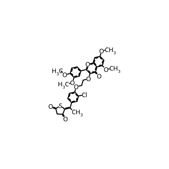 COc1cc(OC)c2c(=O)c(OCCOc3ccc(/C(C)=C4\SC(=O)CC4=O)cc3Cl)c(-c3ccc(OC)c(OC)c3)oc2c1